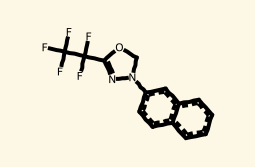 FC(F)(F)C(F)(F)C1=NN(c2ccc3ccccc3c2)CO1